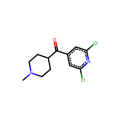 CN1CCC(C(=O)c2cc(Cl)nc(Cl)c2)CC1